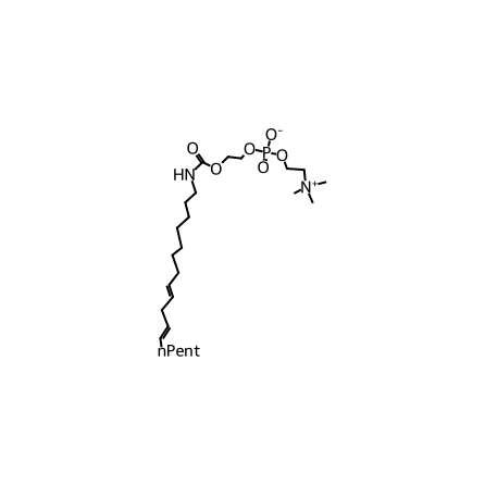 CCCCCC=CCC=CCCCCCCCNC(=O)OCCOP(=O)([O-])OCC[N+](C)(C)C